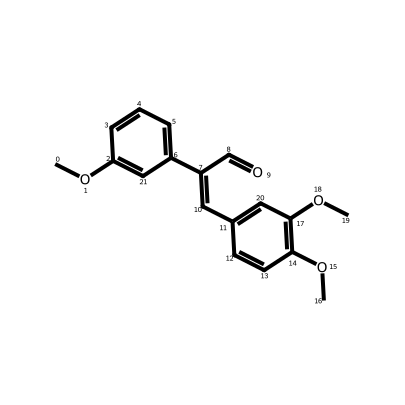 COc1cccc(C(C=O)=Cc2ccc(OC)c(OC)c2)c1